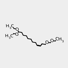 CCOCOCC/C=C\CCCCCCCC(OCC)OCC